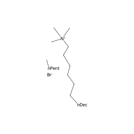 CCCCCC.CCCCCCCCCCCCCCCC[N+](C)(C)C.[Br-]